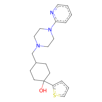 OC1(c2cccs2)CCC(CN2CCN(c3ccccn3)CC2)CC1